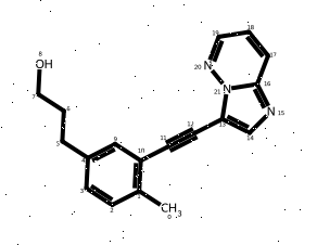 Cc1ccc(CCCO)cc1C#Cc1cnc2cccnn12